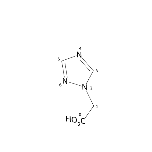 O=C(O)Cn1cncn1